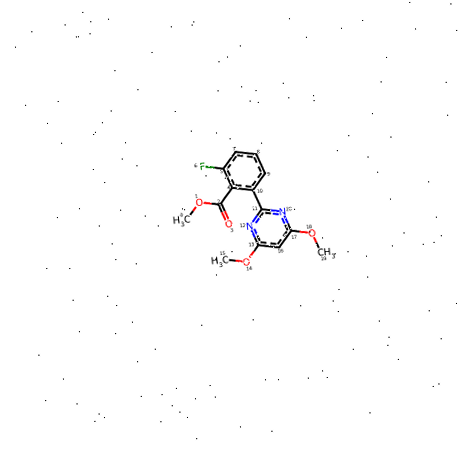 COC(=O)c1c(F)cccc1-c1nc(OC)cc(OC)n1